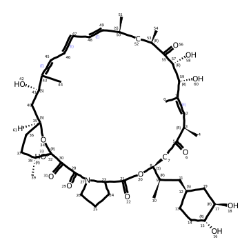 C/C1=C\[C@@H](C)C(=O)C[C@@H]([C@H](C)C[C@@H]2CC[C@@H](O)[C@H](O)C2)OC(=O)C2CCCN2C(=O)C(=O)[C@]2(O)O[C@@H](CC[C@H]2C)C[C@H](O)/C(C)=C/C=C/C=C/[C@@H](C)C[C@@H](C)C(=O)[C@H](O)[C@@H]1O